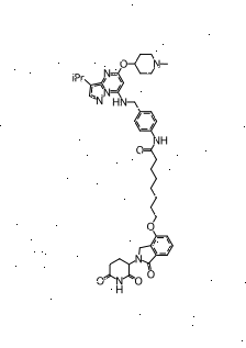 CC(C)c1cnn2c(NCc3ccc(NC(=O)CCCCCCCOc4cccc5c4CN(C4CCC(=O)NC4=O)C5=O)cc3)cc(OC3CCN(C)CC3)nc12